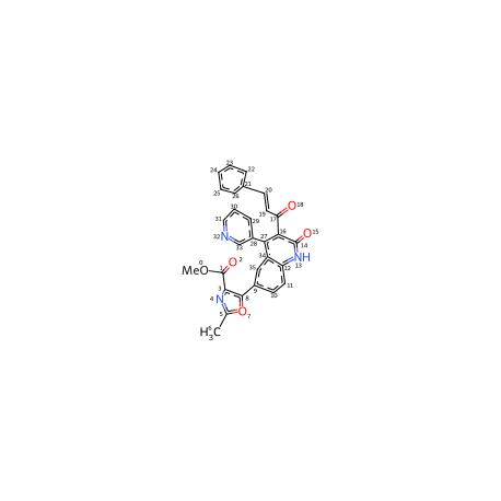 COC(=O)c1nc(C)oc1-c1ccc2[nH]c(=O)c(C(=O)C=Cc3ccccc3)c(-c3cccnc3)c2c1